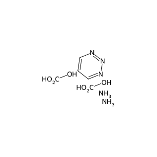 N.N.O=C(O)O.O=C(O)O.c1cnnnc1